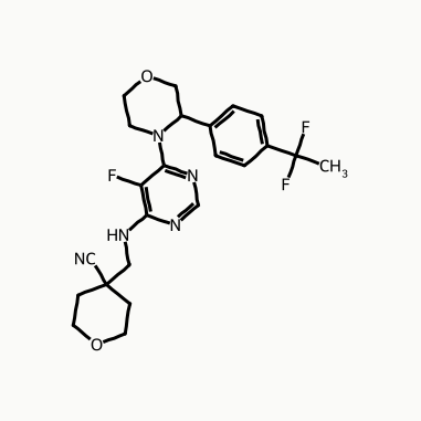 CC(F)(F)c1ccc(C2COCCN2c2ncnc(NCC3(C#N)CCOCC3)c2F)cc1